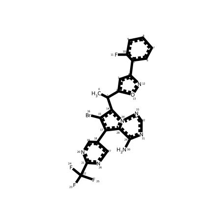 CC(c1cc(-c2ccccc2F)no1)c1c(Br)c(-c2cnc(C(F)(F)F)nc2)c2c(N)ncnn12